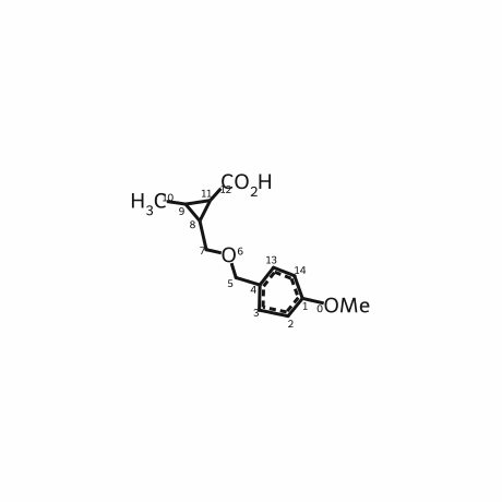 COc1ccc(COCC2C(C)C2C(=O)O)cc1